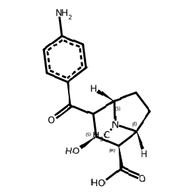 CN1[C@@H]2CC[C@H]1C(C(=O)c1ccc(N)cc1)[C@H](O)[C@@H]2C(=O)O